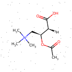 [2H][C@H](C(=O)O)[C@H](C[N+](C)(C)C)OC(C)=O